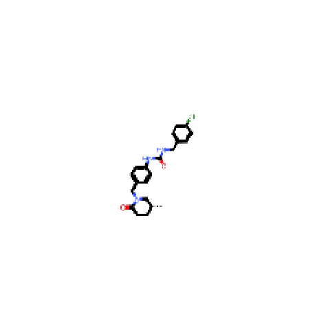 C[C@@H]1CCC(=O)N(Cc2ccc(NC(=O)NCc3ccc(Cl)cc3)cc2)C1